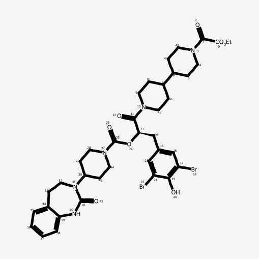 CCOC(=O)C(=O)N1CCC(C2CCN(C(=O)[C@@H](Cc3cc(Br)c(O)c(Br)c3)OC(=O)N3CCC(N4CCc5ccccc5NC4=O)CC3)CC2)CC1